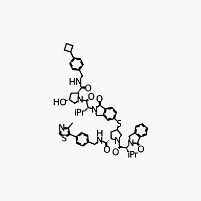 Cc1ncsc1-c1ccc(CNC(=O)[C@@H]2C[C@@H](Sc3ccc4c(c3)CN([C@H](C(=O)N3C[C@H](O)C[C@H]3C(=O)NCc3ccc(C5CCC5)cc3)C(C)C)C4=O)CN2C(=O)[C@H](C(C)C)N2Cc3ccccc3C2=O)cc1